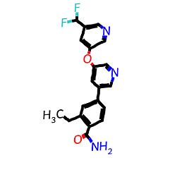 CCc1cc(-c2cncc(Oc3cncc(C(F)F)c3)c2)ccc1C(N)=O